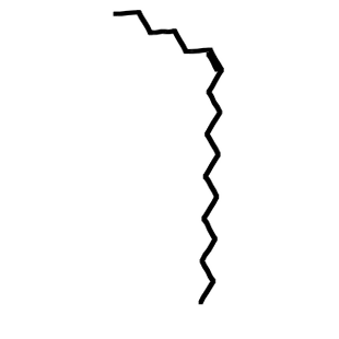 CCCCC/C=C\CCCCCCCCCCC